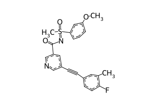 COc1cccc(S(C)(=O)=NC(=O)c2cncc(C#Cc3ccc(F)c(C)c3)c2)c1